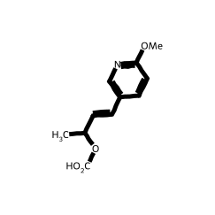 COc1ccc(C=CC(C)OC(=O)O)cn1